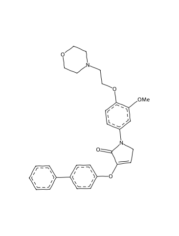 COc1cc(N2CC=C(Oc3ccc(-c4ccccc4)cc3)C2=O)ccc1OCCN1CCOCC1